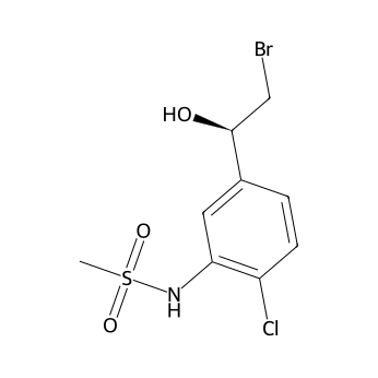 CS(=O)(=O)Nc1cc([C@@H](O)CBr)ccc1Cl